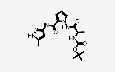 Cc1cc(NC(=O)c2cccn2NC(=O)C(C)NC(=O)OC(C)(C)C)n[nH]1